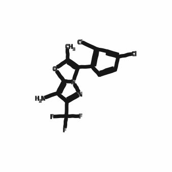 Cc1oc2c(N)c(C(F)(F)F)nn2c1-c1ccc(Cl)cc1Cl